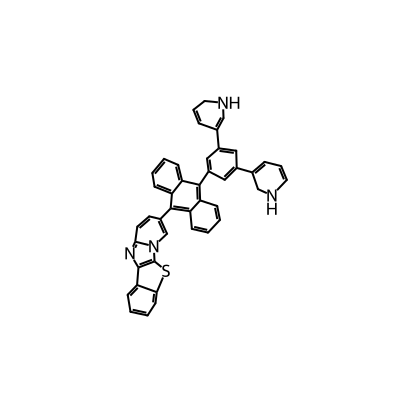 C1=CNCC(c2cc(C3=CNCC=C3)cc(-c3c4ccccc4c(-c4ccc5nc6c7ccccc7sc6n5c4)c4ccccc34)c2)=C1